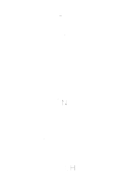 CC1=CCN(c2ccc(F)cc2)C=[C]1